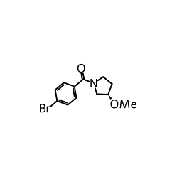 CO[C@@H]1CCN(C(=O)c2ccc(Br)cc2)C1